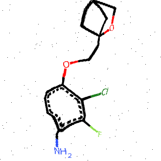 Nc1ccc(OCC23CC(CO2)C3)c(Cl)c1F